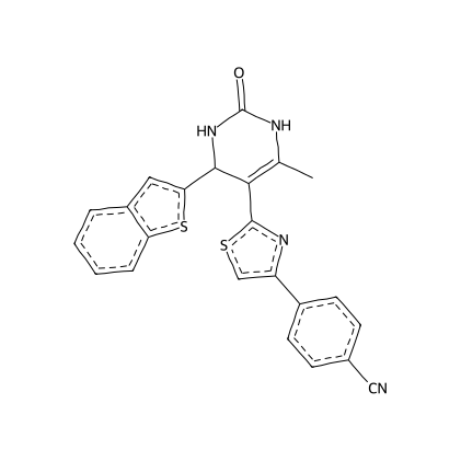 CC1=C(c2nc(-c3ccc(C#N)cc3)cs2)C(c2cc3ccccc3s2)NC(=O)N1